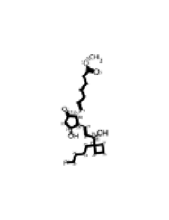 COC(=O)CCCCCC[C@H]1C(=O)C[C@@H](O)[C@@H]1C=C[C@@H](O)C1(CCCCF)CCC1